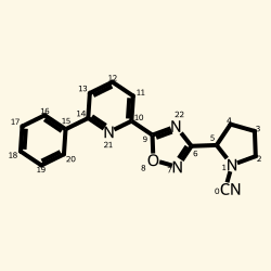 N#CN1CCCC1c1noc(-c2cccc(-c3ccccc3)n2)n1